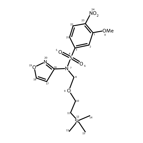 COc1cc(S(=O)(=O)N(COCC[Si](C)(C)C)c2ccon2)ccc1[N+](=O)[O-]